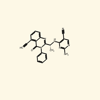 C#Cc1cccc2nc([C@@H](C)Nc3nc(N)ncc3C#N)n(-c3ccccc3)c(=O)c12